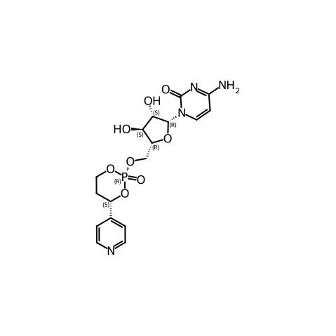 Nc1ccn([C@@H]2O[C@H](CO[P@@]3(=O)OCC[C@@H](c4ccncc4)O3)[C@@H](O)[C@@H]2O)c(=O)n1